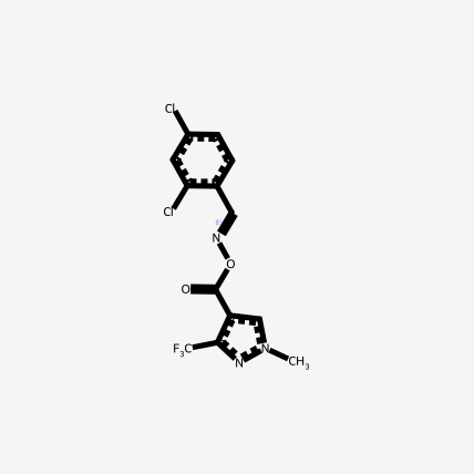 Cn1cc(C(=O)O/N=C/c2ccc(Cl)cc2Cl)c(C(F)(F)F)n1